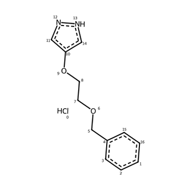 Cl.c1ccc(COCCOc2cn[nH]c2)cc1